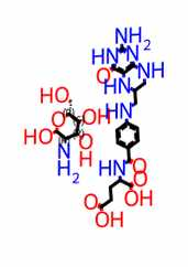 N[C@H]1C(O)O[C@H](CO)[C@@H](O)[C@@H]1O.Nc1nc2c(c(=O)[nH]1)NC(CNc1ccc(C(=O)NC(CCC(=O)O)C(=O)O)cc1)CN2